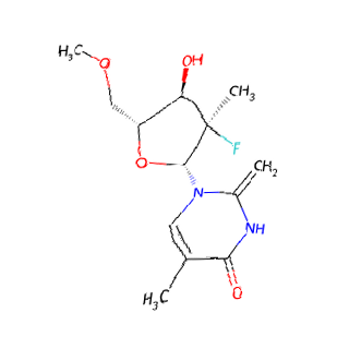 C=C1NC(=O)C(C)=CN1[C@@H]1O[C@H](COC)[C@@H](O)[C@@]1(C)F